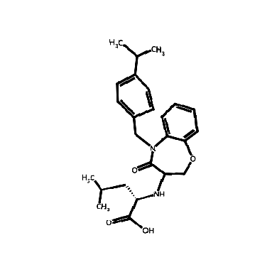 CC(C)C[C@H](NC1COc2ccccc2N(Cc2ccc(C(C)C)cc2)C1=O)C(=O)O